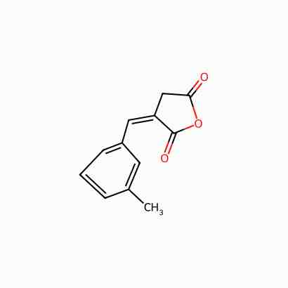 Cc1cccc(C=C2CC(=O)OC2=O)c1